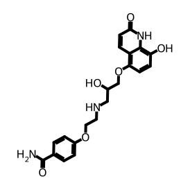 NC(=O)c1ccc(OCCNCC(O)COc2ccc(O)c3[nH]c(=O)ccc23)cc1